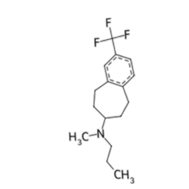 CCCN(C)C1CCc2ccc(C(F)(F)F)cc2CC1